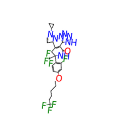 O=C1NC(c2ccc(OCCCCCC(F)(F)F)cc2F)(C(F)(F)F)CC(c2ccn(C3CC3)n2)=C1c1nnn[nH]1